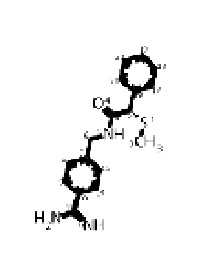 CS[C@H](C(=O)NCc1ccc(C(=N)N)cc1)c1ccccc1